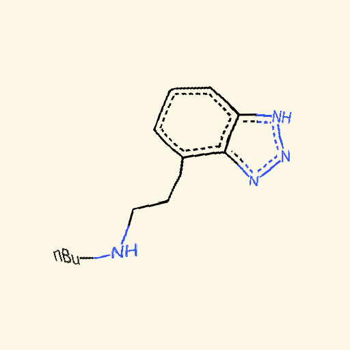 CCCCNCCc1cccc2[nH]nnc12